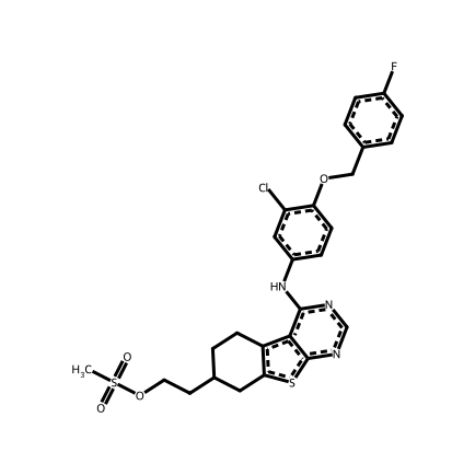 CS(=O)(=O)OCCC1CCc2c(sc3ncnc(Nc4ccc(OCc5ccc(F)cc5)c(Cl)c4)c23)C1